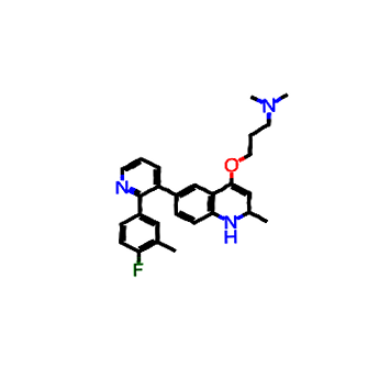 Cc1cc(-c2ncccc2-c2ccc3c(c2)C(OCCCN(C)C)=CC(C)N3)ccc1F